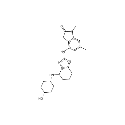 Cc1cc(Nc2nc3n(n2)C(N[C@H]2CC[C@@H](O)CC2)CCC3)c2c(c1)N(C)C(=O)C2